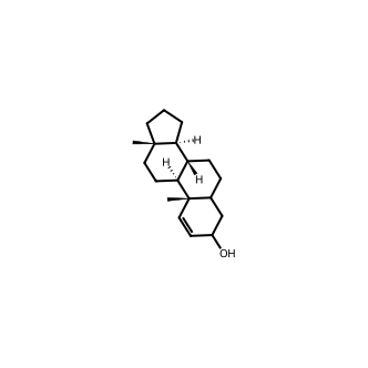 C[C@@]12CCC[C@H]1[C@@H]1CCC3CC(O)C=C[C@]3(C)[C@H]1CC2